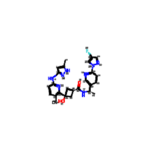 Cc1cc(Nc2ccc(C#N)c([C@]3(O)C[C@H](C(=O)N[C@@H](C)c4ccc(-n5cc(F)cn5)nc4)C3)n2)n[nH]1